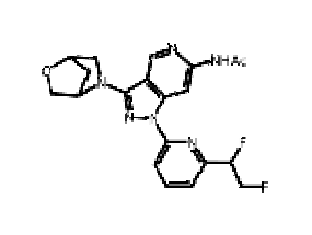 CC(=O)Nc1cc2c(cn1)c(N1CC3CC1CO3)nn2-c1cccc(C(F)CF)n1